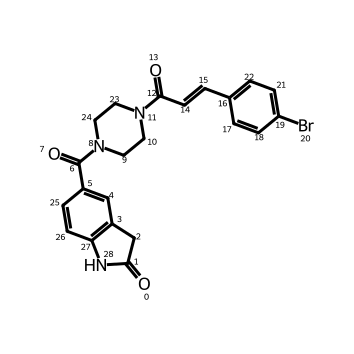 O=C1Cc2cc(C(=O)N3CCN(C(=O)C=Cc4ccc(Br)cc4)CC3)ccc2N1